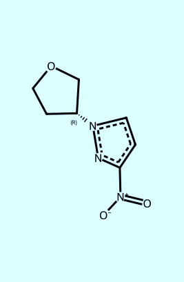 O=[N+]([O-])c1ccn([C@@H]2CCOC2)n1